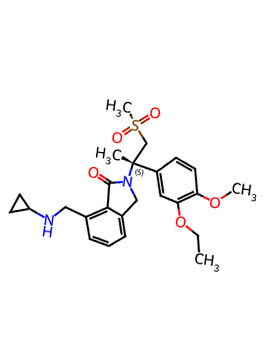 CCOc1cc([C@@](C)(CS(C)(=O)=O)N2Cc3cccc(CNC4CC4)c3C2=O)ccc1OC